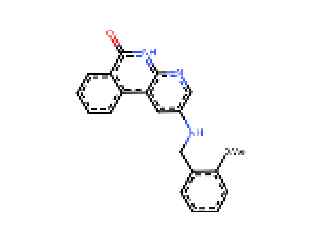 COc1ccccc1CNc1cnc2[nH]c(=O)c3ccccc3c2c1